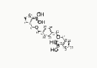 OB(O)c1sccc1COCc1ccc(COCc2ccsc2B(O)O)cc1